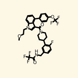 COCCn1cc(C(=O)N2CCC(c3cc(CNC(=O)C(F)(F)F)ccc3F)CC2)c2c(-c3ccc(OC(F)(F)F)cc3)cccc21